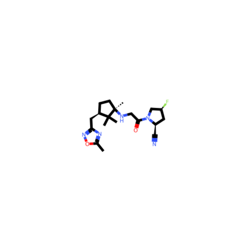 Cc1nc(C[C@H]2CC[C@@](C)(NCC(=O)N3C[C@@H](F)C[C@H]3C#N)C2(C)C)no1